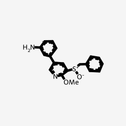 COc1ncc(-c2cc[c]c(N)c2)cc1[S+]([O-])Cc1ccccc1